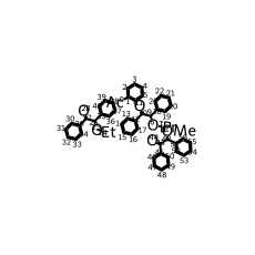 CC(=O)c1ccccc1.CC(C)OC(C(=O)c1ccccc1)c1ccccc1.CCOC(C(=O)c1ccccc1)c1ccccc1.COC(C(=O)c1ccccc1)c1ccccc1